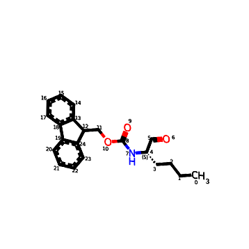 CCCC[C@@H](C=O)NC(=O)OCC1c2ccccc2-c2ccccc21